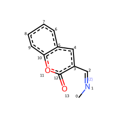 C/N=C\c1cc2ccccc2oc1=O